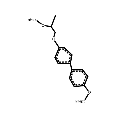 CCCCCCCOc1ccc(-c2ccc(OCC(C)OCCCCCC)cc2)cc1